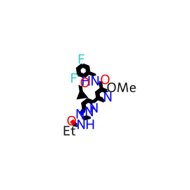 CCC(=O)Nc1cn2nc(-c3cnc(OC)c(C(=O)NCc4cc(F)cc(F)c4OCC4CC4)c3)ccc2n1